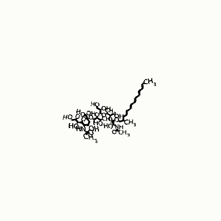 CCCCCCCCCCCCC(C)COC(OC(CO)[C@H](C)OC(OC(CO[C@]1(C(=O)O)C[C@H](O)C(NC(C)=O)C([C@H](O)[C@H](O)CO)O1)[C@@H](C)O)[C@@H](O)CO)[C@H](O)NC(C)=O